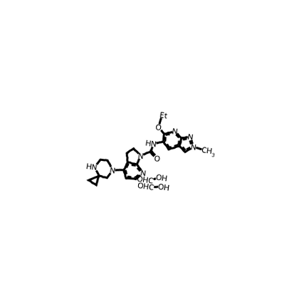 CCOc1nc2nn(C)cc2cc1NC(=O)N1CCc2c(N3CCNC4(CC4)C3)ccnc21.O=CO.O=CO